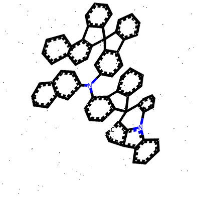 c1ccc2c(c1)-c1ccc(N(c3ccc4ccccc4c3)c3cccc4c3-c3ccccc3C43c4ccccc4-n4c5ccccc5c5cccc3c54)cc1C21c2ccccc2-c2c1ccc1ccccc21